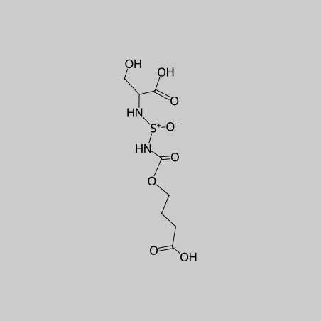 O=C(O)CCCOC(=O)N[S+]([O-])NC(CO)C(=O)O